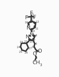 CCOC(=O)CCc1cn(-c2ccc(C(F)(F)F)cn2)nc1C1CCCCC1